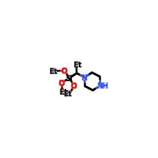 CCO[Si](OCC)(OCC)C(CC)N1CCNCC1